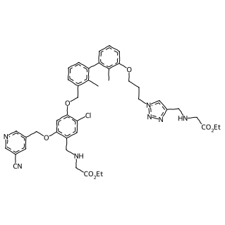 CCOC(=O)CNCc1cn(CCCOc2cccc(-c3cccc(COc4cc(OCc5cncc(C#N)c5)c(CNCC(=O)OCC)cc4Cl)c3C)c2C)nn1